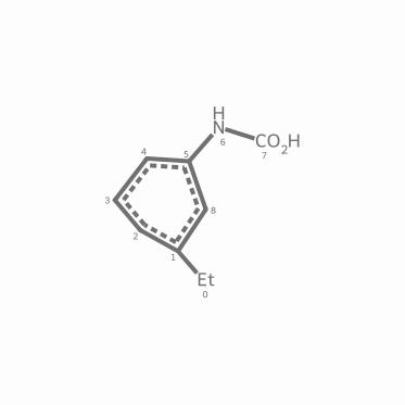 CCc1cccc(NC(=O)O)c1